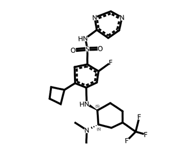 CN(C)[C@H]1CC(C(F)(F)F)CC[C@@H]1Nc1cc(F)c(S(=O)(=O)Nc2ccncn2)cc1C1CCC1